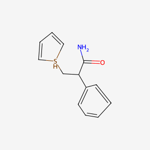 NC(=O)C(C[SH]1C=CC=C1)c1ccccc1